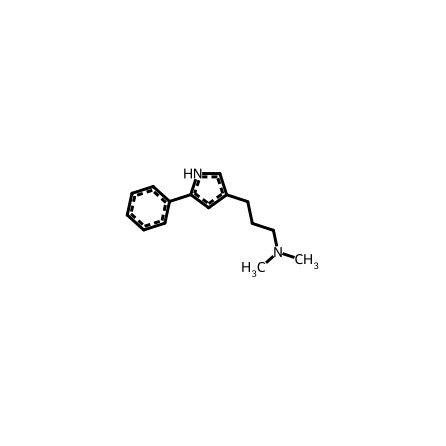 CN(C)CCCc1c[nH]c(-c2ccccc2)c1